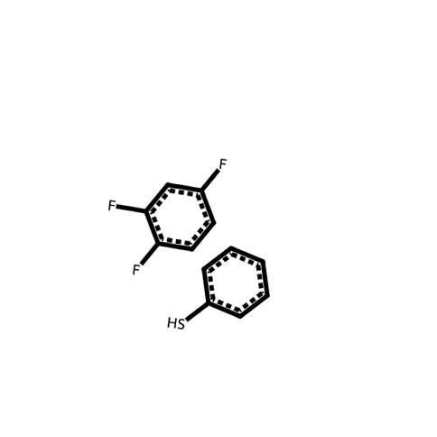 Fc1ccc(F)c(F)c1.Sc1ccccc1